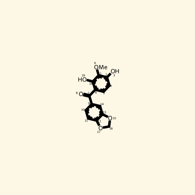 COc1c(O)ccc(C(=O)c2ccc3c(c2)OCO3)c1O